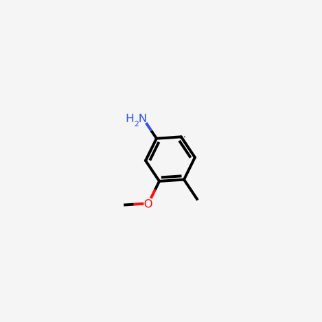 COc1cc(N)[c]cc1C